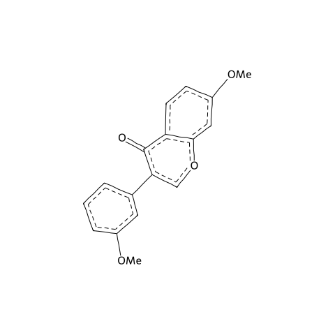 COc1cccc(-c2coc3cc(OC)ccc3c2=O)c1